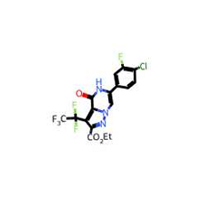 CCOC(=O)c1nn2cc(-c3ccc(Cl)c(F)c3)[nH]c(=O)c2c1C(F)(F)C(F)(F)F